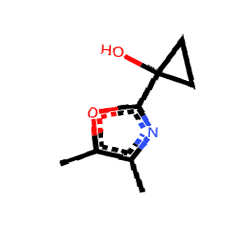 Cc1nc(C2(O)CC2)oc1C